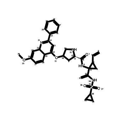 C=CC1CC1(NC(=O)[C@@H]1CC(OC2=CC(c3ccccc3)=NC3C=C(OC)C=CC23)CN1)C(=C)NS(=O)(=O)C1CC1